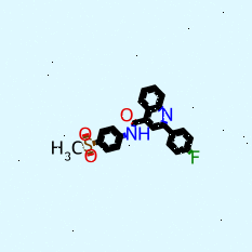 CS(=O)(=O)c1ccc(NC(=O)c2cc(-c3ccc(F)cc3)nc3ccccc23)cc1